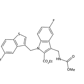 CCOC(=O)c1c(CNC(=O)OC)c2cc(F)ccc2n1Cc1csc2ccc(F)cc12